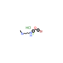 C=CCN(C)CCCCCCNc1ccc(C(=O)c2ccc(Br)cc2)cc1F.Cl